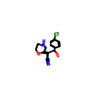 N#CC(C(=O)c1ccc(Cl)cc1)=C1CNCCO1